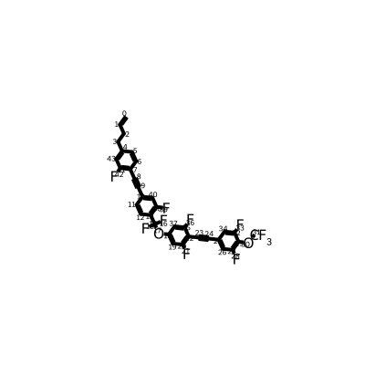 C=CCCc1ccc(C#Cc2ccc(C(F)(F)Oc3cc(F)c(C#Cc4cc(F)c(OC(F)(F)F)c(F)c4)c(F)c3)c(F)c2)c(F)c1